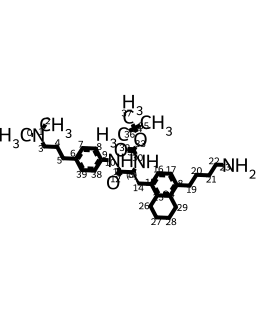 CN(C)CCCc1ccc(NC(=O)[C@H](Cc2ccc(CCCCN)c3c2CCCC3)NC(=O)OC(C)(C)C)cc1